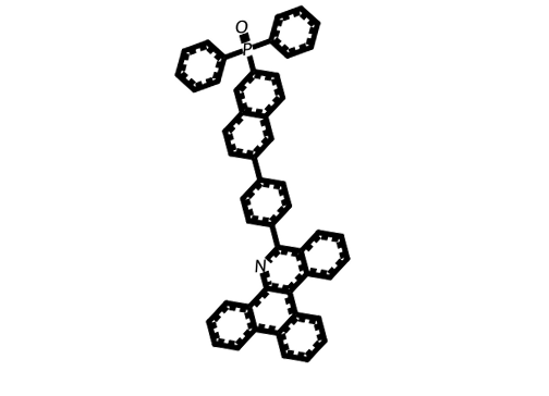 O=P(c1ccccc1)(c1ccccc1)c1ccc2cc(-c3ccc(-c4nc5c6ccccc6c6ccccc6c5c5ccccc45)cc3)ccc2c1